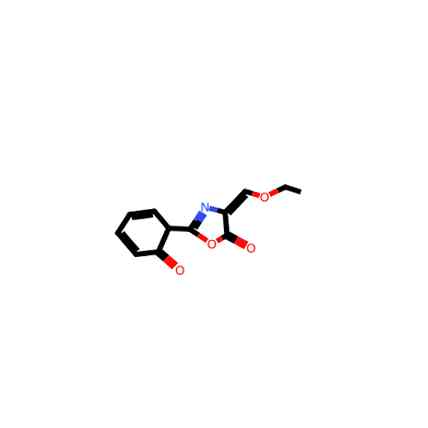 CCOC=C1N=C(C2C=CC=CC2=O)OC1=O